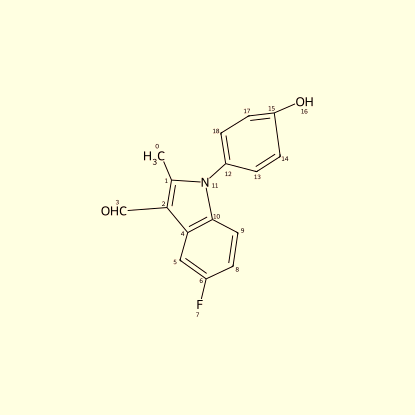 Cc1c(C=O)c2cc(F)ccc2n1-c1ccc(O)cc1